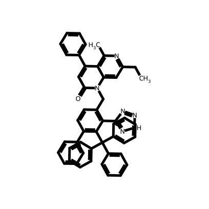 CCc1cc2c(c(-c3ccccc3)cc(=O)n2Cc2ccc(-c3ccccc3)c(C(c3ccccc3)(c3ccccc3)c3ccccc3)c2-c2nn[nH]n2)c(C)n1